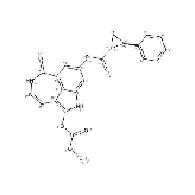 COC(=O)Oc1[nH]c2cc(NC(=O)[C@@H]3C[C@H]3c3ccccc3)cc3c2c1C=NNC3=O